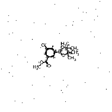 COC(=O)c1cc(Cl)cc(B2OC(C)(C)C(C)(C)O2)c1